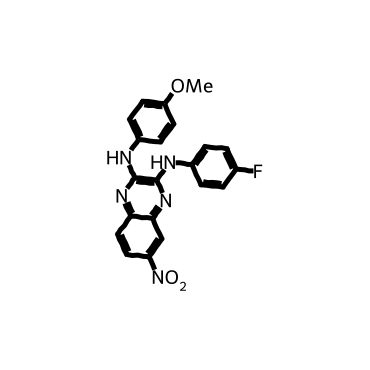 COc1ccc(Nc2nc3ccc([N+](=O)[O-])cc3nc2Nc2ccc(F)cc2)cc1